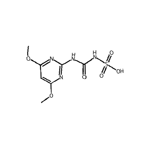 COc1cc(OC)nc(NC(=O)NS(=O)(=O)O)n1